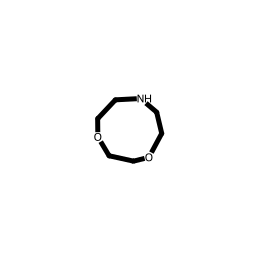 C1COCCOCCN1